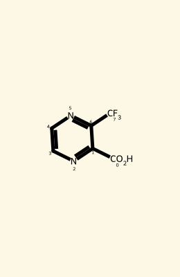 O=C(O)c1nccnc1C(F)(F)F